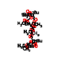 C=C(C)C(=O)OCCCOc1c(CCC(=O)OCC(C)(C)C2OCC3(CO2)COC(C(C)(C)COC(=O)CCc2cc(C(C)(C)C)c(OC(=O)OC(C)(C)C)c(C)c2OCCCOC(=O)C(=C)C)OC3)cc(C(C)(C)C)c(OC(=O)OC(C)(C)C)c1C